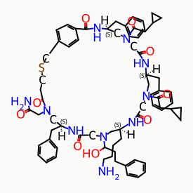 NCCCC[C@H]1CN(C(O)CCc2ccccc2)CC(=O)N[C@@H](Cc2ccccc2)CN(CC(N)=O)C(=O)CCSCc2ccc(cc2)C(=O)N[C@@H](Cc2ccccc2)CN(C(=O)CC2CC2)CC(=O)N[C@@H](Cc2ccccc2)CN(C(=O)CC2CC2)CC(=O)N1